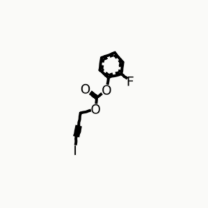 O=C(OCC#CI)Oc1ccccc1F